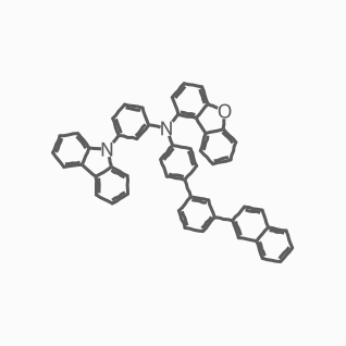 c1cc(-c2ccc(N(c3cccc(-n4c5ccccc5c5ccccc54)c3)c3cccc4oc5ccccc5c34)cc2)cc(-c2ccc3ccccc3c2)c1